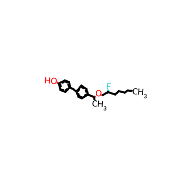 CCCCCC(F)COC(C)c1ccc(-c2ccc(O)cc2)cc1